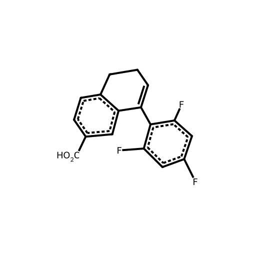 O=C(O)c1ccc2c(c1)C(c1c(F)cc(F)cc1F)=CCC2